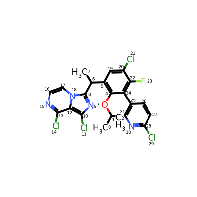 CC(C)Oc1c(C(C)c2nc(Cl)c3c(Cl)nccn23)cc(Cl)c(F)c1-c1ccc(Cl)nc1